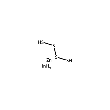 SSSS.[InH3].[Zn]